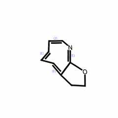 C1=C\N=C2\OCC\C2=C/C=C/1